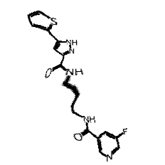 O=C(NCCCNC(=O)c1cc(-c2cccs2)[nH]n1)c1cncc(F)c1